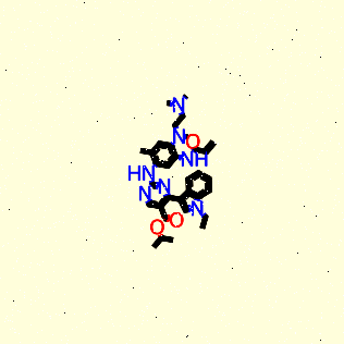 C=CC(=O)Nc1cc(Nc2ncc(C(=O)OC(C)C)c(-c3cn(CC)c4ccccc34)n2)c(C)cc1N(C)CCN(C)C